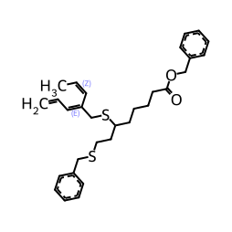 C=C/C=C(\C=C/C)CSC(CCCCC(=O)OCc1ccccc1)CCSCc1ccccc1